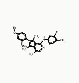 CCOc1ccc(-n2c(C)c3c(C)nnc(Nc4ccc(C)c(F)c4)c3c2C)c(OC)c1